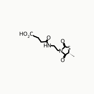 C[C@H]1SC(=O)N(CCNC(=O)CCCC(=O)O)C1=O